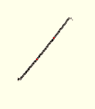 BB=BB=BB=BB=BB=BB=BB=BB=BB=BB=BB=BB=BB=BB=BB=BB=BB=BB=BB=BB=BB=BB=BB=BB=BB=BB=BB=BB=BOCC